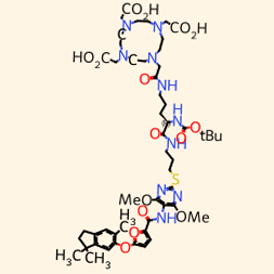 COc1nc(SCCCNC(=O)[C@@H](CCCNC(=O)CN2CCN(CC(=O)O)CCN(CC(=O)O)CCN(CC(=O)O)CC2)NC(=O)OC(C)(C)C)nc(OC)c1NC(=O)c1ccc(Oc2cc3c(cc2C)CCC3(C)C)o1